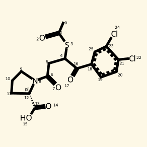 CC(=O)SC(CC(=O)N1CCC[C@H]1C(=O)O)C(=O)c1ccc(Cl)c(Cl)c1